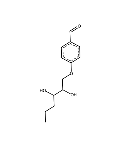 CCCC(O)C(O)COc1ccc(C=O)cc1